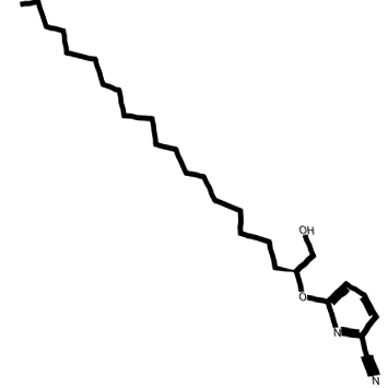 CCCCCCCCCCCCCCCCCCC[C@@H](CO)Oc1cccc(C#N)n1